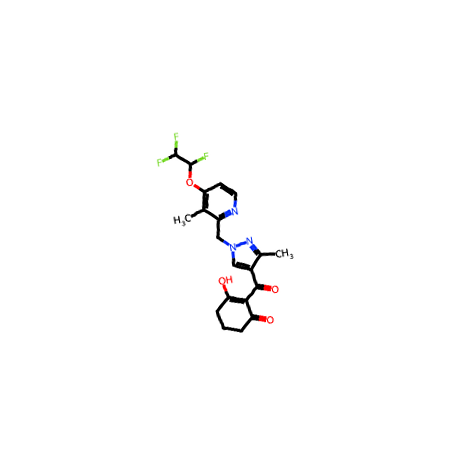 Cc1nn(Cc2nccc(OC(F)C(F)F)c2C)cc1C(=O)C1=C(O)CCCC1=O